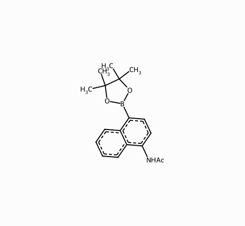 CC(=O)Nc1ccc(B2OC(C)(C)C(C)(C)O2)c2ccccc12